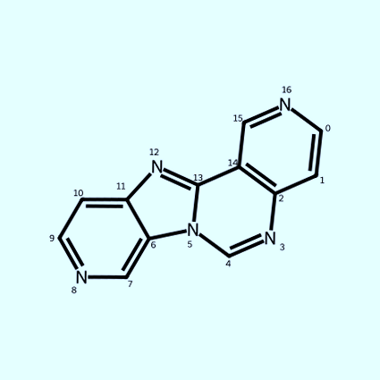 c1cc2ncn3c4cnccc4nc3c2cn1